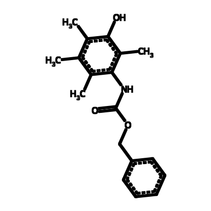 Cc1c(C)c(O)c(C)c(NC(=O)OCc2ccccc2)c1C